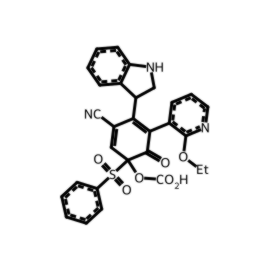 CCOc1ncccc1C1=C(C2CNc3ccccc32)C(C#N)=CC(OC(=O)O)(S(=O)(=O)c2ccccc2)C1=O